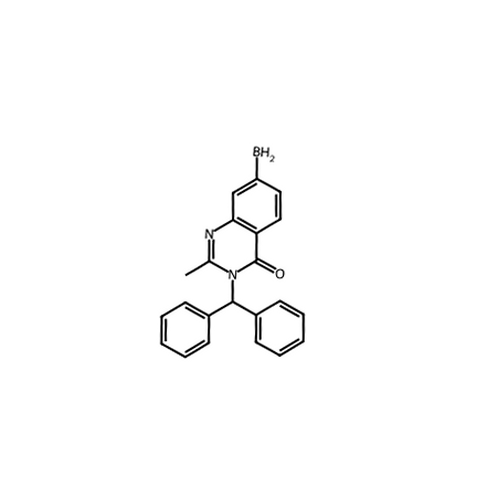 Bc1ccc2c(=O)n(C(c3ccccc3)c3ccccc3)c(C)nc2c1